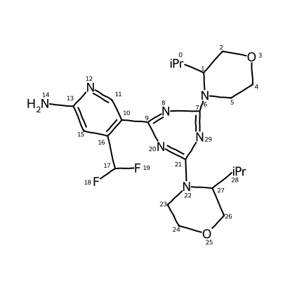 CC(C)C1COCCN1c1nc(-c2cnc(N)cc2C(F)F)nc(N2CCOCC2C(C)C)n1